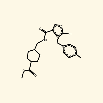 COC(=O)C1CCC(CNC(=O)c2cnc(Cl)n2Cc2ccc(C)cc2)CC1